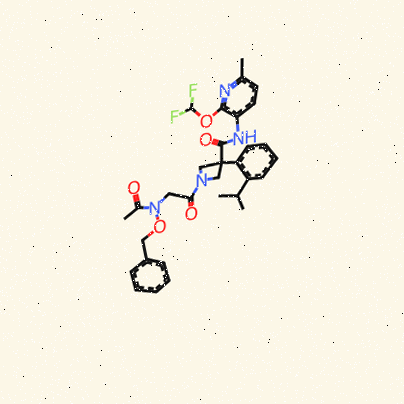 CC(=O)N(CC(=O)N1CC(C(=O)Nc2ccc(C)nc2OC(F)F)(c2ccccc2C(C)C)C1)OCc1ccccc1